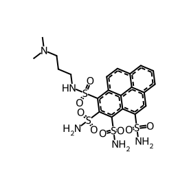 CN(C)CCCNS(=O)(=O)c1c(S(N)(=O)=O)c(S(N)(=O)=O)c2c(S(N)(=O)=O)cc3cccc4ccc1c2c43